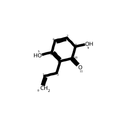 C=CCC1=C(O)C=CC(O)C1=O